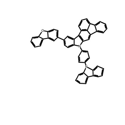 c1ccc2c(c1)-c1cccc3c1c-2cc1c3c2cc(-c3ccc4oc5ccccc5c4c3)ccc2n1-c1ccc(-n2c3ccccc3c3ccccc32)cc1